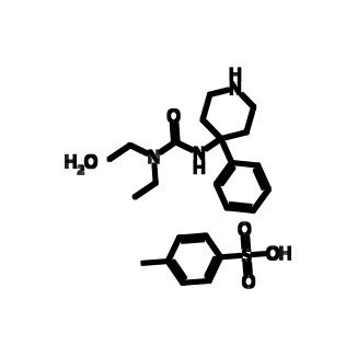 CCN(CC)C(=O)NC1(c2ccccc2)CCNCC1.Cc1ccc(S(=O)(=O)O)cc1.O